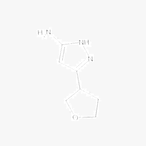 Nc1cc(C2CCOC2)n[nH]1